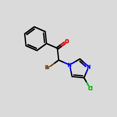 O=C(c1ccccc1)C(Br)n1cnc(Cl)c1